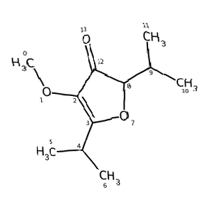 COC1=C(C(C)C)OC(C(C)C)C1=O